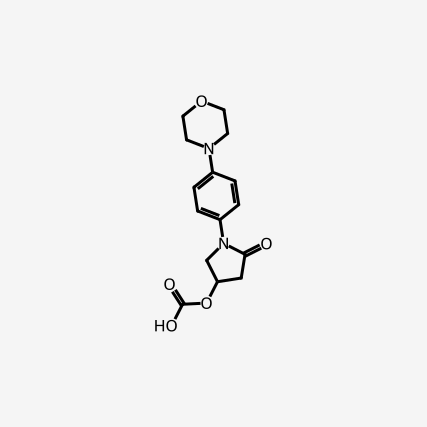 O=C(O)OC1CC(=O)N(c2ccc(N3CCOCC3)cc2)C1